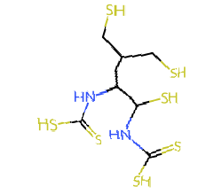 S=C(S)NC(S)C(NC(=S)S)C(CS)CS